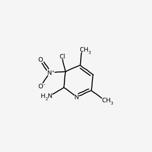 CC1=CC(C)=NC(N)C1(Cl)[N+](=O)[O-]